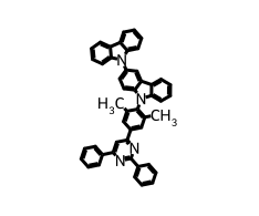 Cc1cc(-c2cc(-c3ccccc3)nc(-c3ccccc3)n2)cc(C)c1-n1c2ccccc2c2cc(-n3c4ccccc4c4ccccc43)ccc21